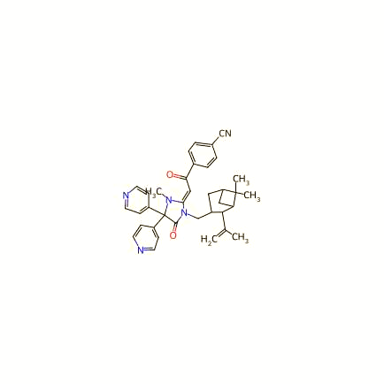 C=C(C)C1C(CN2C(=O)C(c3ccncc3)(c3ccncc3)N(C)C2=CC(=O)c2ccc(C#N)cc2)CC2CC1C2(C)C